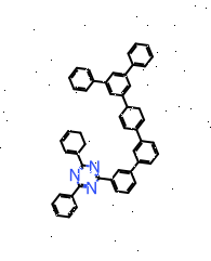 C1=CCCC(c2nc(-c3ccccc3)nc(-c3cccc(-c4cccc(C5=CCC(c6cc(-c7ccccc7)cc(-c7ccccc7)c6)C=C5)c4)c3)n2)=C1